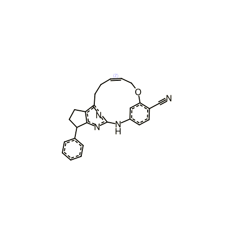 N#Cc1ccc2cc1OC/C=C\CCc1nc(nc3c1CCC3c1ccccc1)N2